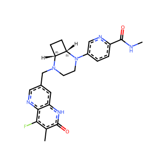 CNC(=O)c1ccc(N2CCN(Cc3cnc4c(F)c(C)c(=O)[nH]c4c3)[C@@H]3CC[C@@H]32)cn1